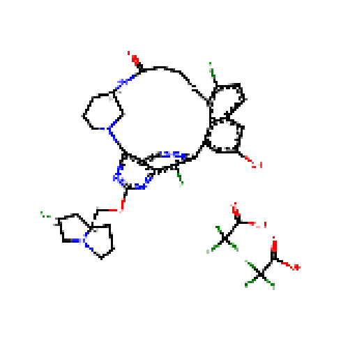 C[C@@]12CCCN(C1)c1nc(OC[C@@]34CCCN3C[C@H](F)C4)nc3c(F)c(ncc13)-c1cc(O)cc3ccc(F)c(c13)CCCC(=O)N2.O=C(O)C(F)(F)F.O=C(O)C(F)(F)F